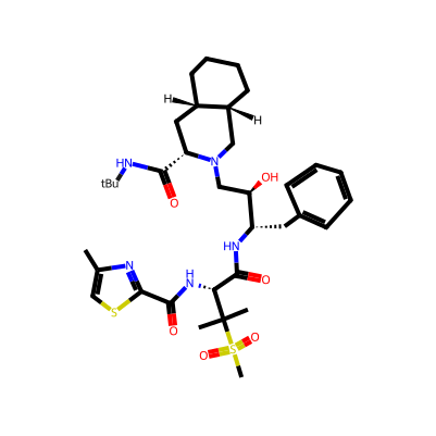 Cc1csc(C(=O)N[C@H](C(=O)N[C@@H](Cc2ccccc2)[C@H](O)CN2C[C@H]3CCCC[C@H]3C[C@H]2C(=O)NC(C)(C)C)C(C)(C)S(C)(=O)=O)n1